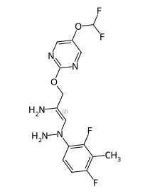 Cc1c(F)ccc(N(N)/C=C(\N)COc2ncc(OC(F)F)cn2)c1F